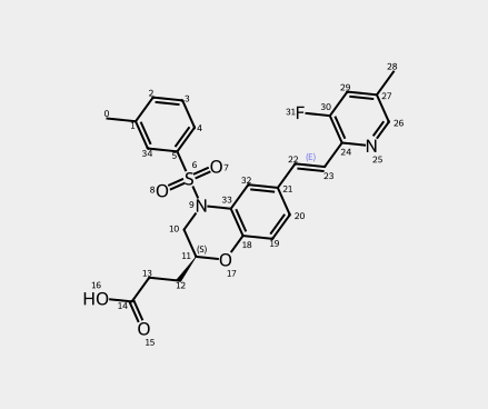 Cc1cccc(S(=O)(=O)N2C[C@H](CCC(=O)O)Oc3ccc(/C=C/c4ncc(C)cc4F)cc32)c1